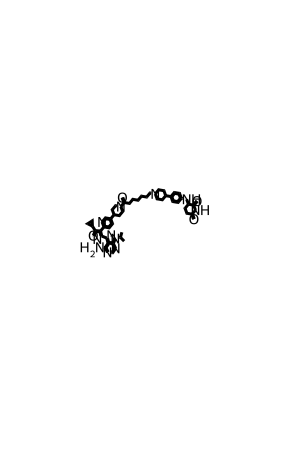 CC(C)n1nc(-c2noc(C3CC3)c2-c2ccc(C3CCN(C(=O)CCCCCCN4CCC(c5ccc(NC6CCC(=O)NC6=O)cc5)CC4)CC3)cn2)c2c(N)ncnc21